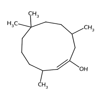 CC1/C=C(/O)CC(C)CCC(C)(C)CCC1